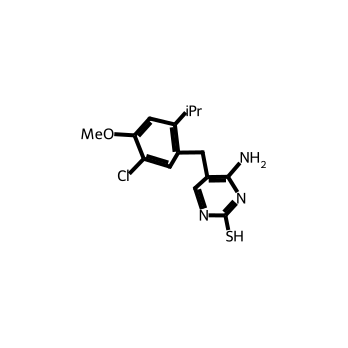 COc1cc(C(C)C)c(Cc2cnc(S)nc2N)cc1Cl